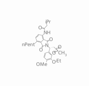 CCCCCc1ccc(NC(=O)CC(C)C)c2c1C(=O)N([C@H](CS(C)(=O)=O)c1ccc(OC)c(OCC)c1)C2=O